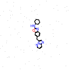 c1cnn2c(Cc3ccc4nc(NC5CCCCC5)oc4c3)cnc2c1